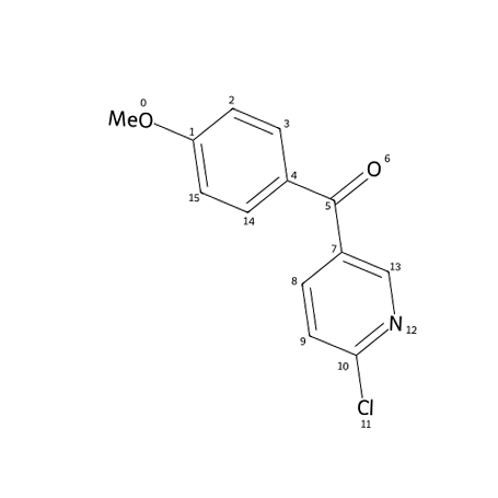 COc1ccc(C(=O)c2ccc(Cl)nc2)cc1